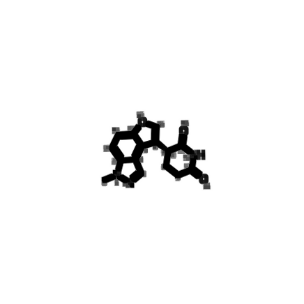 Cn1ncc2c3c([C@@H]4CCC(=O)NC4=O)coc3ccc21